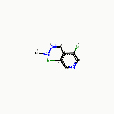 BN/N=C\c1c(Br)cncc1Br